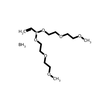 B.C=CP(OCCOCCOC)OCCOCCOC